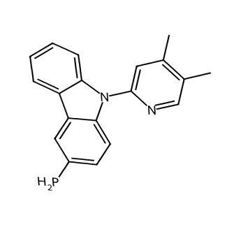 Cc1cnc(-n2c3ccccc3c3cc(P)ccc32)cc1C